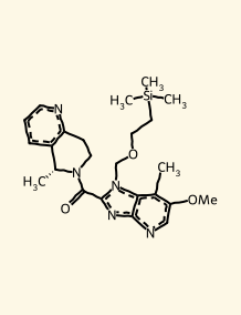 COc1cnc2nc(C(=O)N3CCc4ncccc4[C@H]3C)n(COCC[Si](C)(C)C)c2c1C